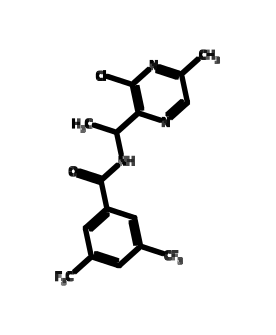 Cc1cnc(C(C)NC(=O)c2cc(C(F)(F)F)cc(C(F)(F)F)c2)c(Cl)n1